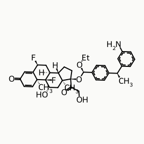 CCO[C@H](O[C@]1(C(=O)CO)CC[C@H]2[C@@H]3C[C@H](F)C4=CC(=O)C=C[C@]4(C)[C@@]3(F)[C@@H](O)C[C@@]21C)c1ccc([C@H](C)c2cccc(N)c2)cc1